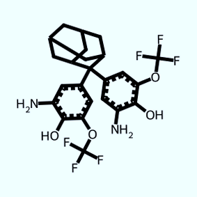 Nc1cc(C2(c3cc(N)c(O)c(OC(F)(F)F)c3)C3CC4CC(C3)CC2C4)cc(OC(F)(F)F)c1O